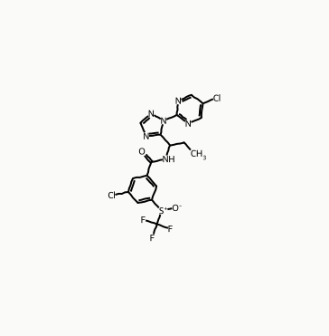 CCC(NC(=O)c1cc(Cl)cc([S+]([O-])C(F)(F)F)c1)c1ncnn1-c1ncc(Cl)cn1